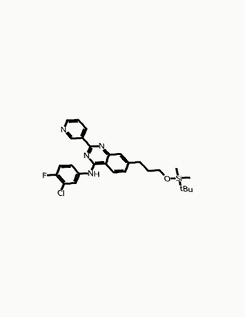 CC(C)(C)[Si](C)(C)OCCCc1ccc2c(Nc3ccc(F)c(Cl)c3)nc(-c3cccnc3)nc2c1